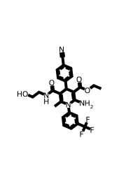 CCOC(=O)C1=C(N)N(c2cccc(C(F)(F)F)c2)C(C)=C(C(=O)NCCO)C1c1ccc(C#N)cc1